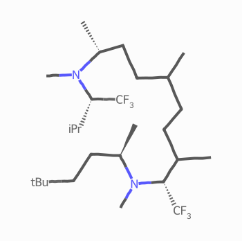 CC(CCC(C)[C@@H](N(C)[C@H](C)CCC(C)(C)C)C(F)(F)F)CC[C@@H](C)N(C)[C@@H](C(C)C)C(F)(F)F